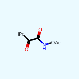 CC(=O)ONC(=O)C(=O)C(C)C